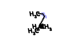 CCCCC/C=C\C/C=C\CCCCCCCCCC(CCCCCCCCC)CN(C)C